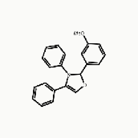 COc1cccc(C2OC=C(c3ccccc3)N2c2ccccc2)c1